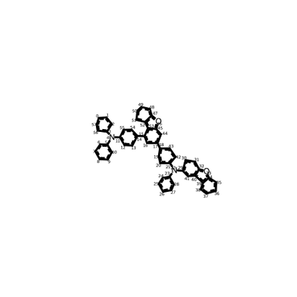 c1ccc(N(c2ccccc2)c2ccc(-c3cc(-c4ccc(N(c5ccccc5)c5ccc6oc7ccccc7c6c5)cc4)cc4oc5ccccc5c34)cc2)cc1